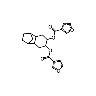 O=C(OC1CC2C3CCC(C3)C2CC1OC(=O)c1ccoc1)c1ccoc1